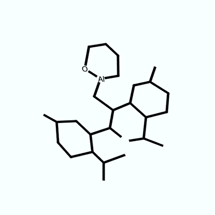 CC1CCC(C(C)C)C(C(C)C([CH2][Al]2[CH2]CCC[O]2)C2CC(C)CCC2C(C)C)C1